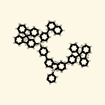 c1ccc(-n2c3ccc(-c4ccc(N(c5ccc(-c6cccc7ccccc67)cc5)c5ccc6c(c5)C5(c7ccccc7-c7ccccc75)c5ccccc5-6)cc4)cc3c3cc(-c4ccc(C5(c6ccccc6)c6ccccc6-c6ccccc65)cc4)ccc32)cc1